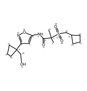 CC(C)(C(=O)Nc1cc(C2(CO)CCC2)no1)S(=O)(=O)CC1CCC1